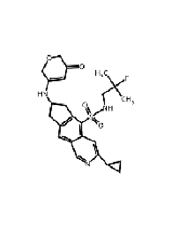 CC(C)(F)CNS(=O)(=O)c1c2c(cc3cnc(C4CC4)cc13)C[C@@H](NC1=CC(=O)COC1)C2